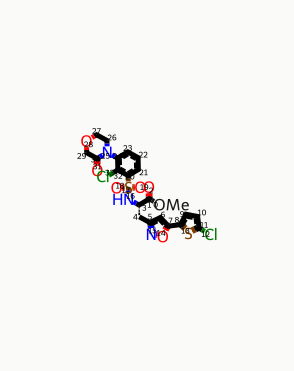 COC(=O)[C@H](Cc1cc(-c2ccc(Cl)s2)on1)NS(=O)(=O)c1cccc(N2CCOCC2=O)c1Cl